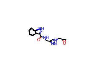 O=C(NCc1cn(CC2CO2)nn1)c1n[nH]c2ccccc12